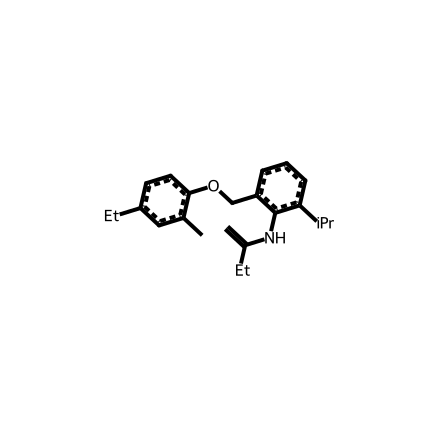 C=C(CC)Nc1c(COc2ccc(CC)cc2C)cccc1C(C)C